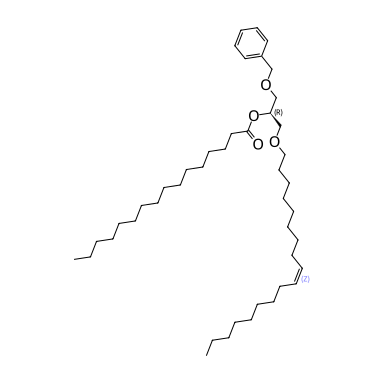 CCCCCCCC/C=C\CCCCCCCCOC[C@H](COCc1ccccc1)OC(=O)CCCCCCCCCCCCCCC